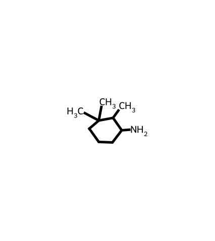 CC1C(N)CCCC1(C)C